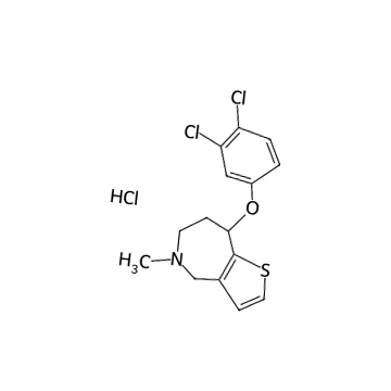 CN1CCC(Oc2ccc(Cl)c(Cl)c2)c2sccc2C1.Cl